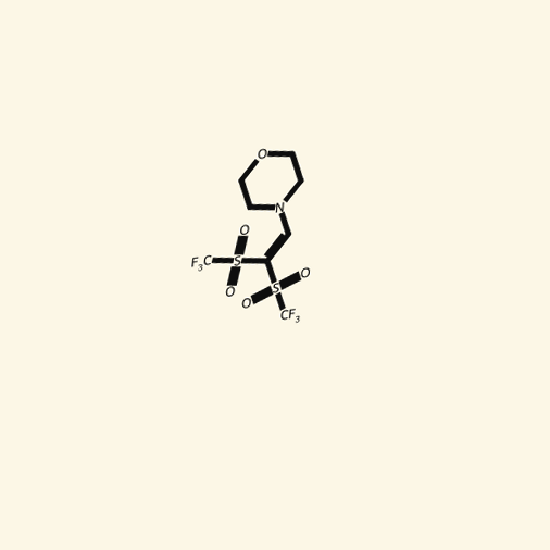 O=S(=O)(C(=CN1CCOCC1)S(=O)(=O)C(F)(F)F)C(F)(F)F